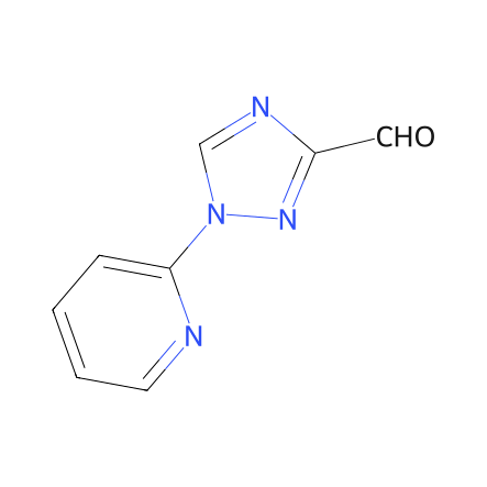 O=Cc1ncn(-c2ccccn2)n1